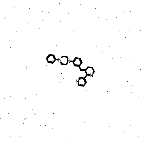 C(=C1CCCN=C1c1cccnc1)c1cccc(N2CCN(c3ccccc3)CC2)c1